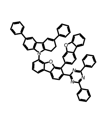 C1=C(c2ccccc2)CCc2c1c1cc(-c3ccccc3)ccc1n2-c1cccc2c1oc1c(-c3ccc4c(c3)oc3ccccc34)c(-c3nc(-c4ccccc4)nc(-c4ccccc4)n3)ccc12